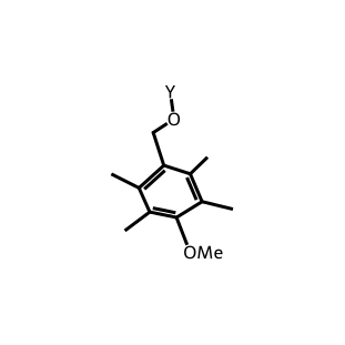 COc1c(C)c(C)c(C[O][Y])c(C)c1C